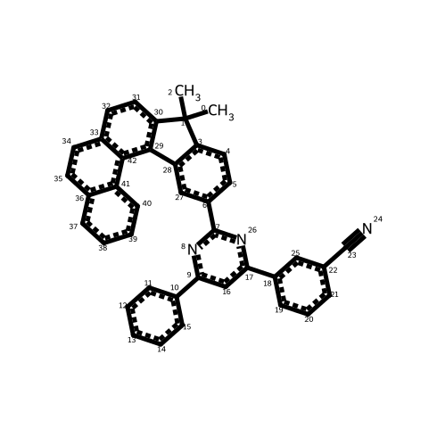 CC1(C)c2ccc(-c3nc(-c4ccccc4)cc(-c4cccc(C#N)c4)n3)cc2-c2c1ccc1ccc3ccccc3c21